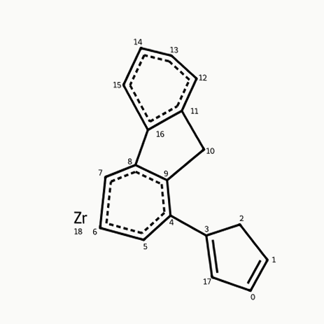 C1=CCC(c2cccc3c2Cc2ccccc2-3)=C1.[Zr]